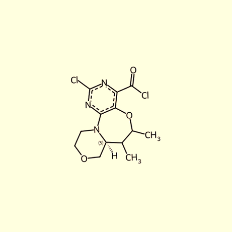 CC1Oc2c(C(=O)Cl)nc(Cl)nc2N2CCOC[C@@H]2C1C